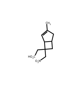 CC1=CC2C(C1)CC2(CC(=O)O)C[N+](=O)[O-]